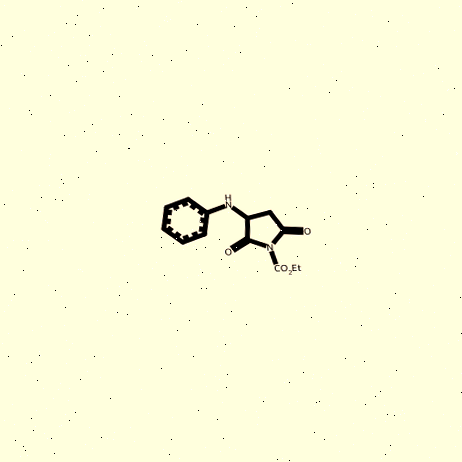 CCOC(=O)N1C(=O)CC(Nc2ccccc2)C1=O